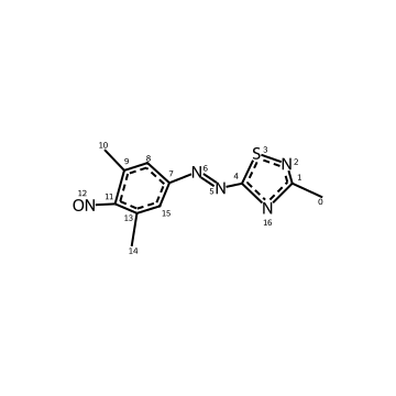 Cc1nsc(/N=N/c2cc(C)c(N=O)c(C)c2)n1